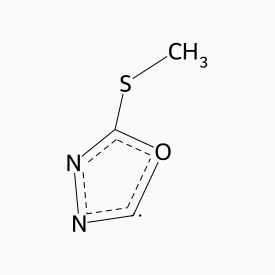 CSc1nn[c]o1